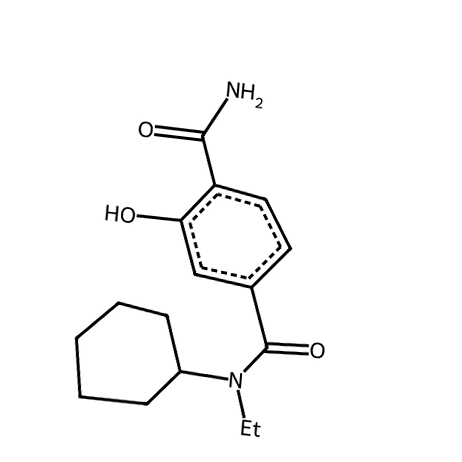 CCN(C(=O)c1ccc(C(N)=O)c(O)c1)C1CCCCC1